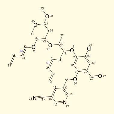 C=C/C=C\CC(Oc1cc(OCc2cncc(C#N)c2)c(C=O)cc1Cl)C(C)OC(CO/C=C/C=C)CC(OC)OC